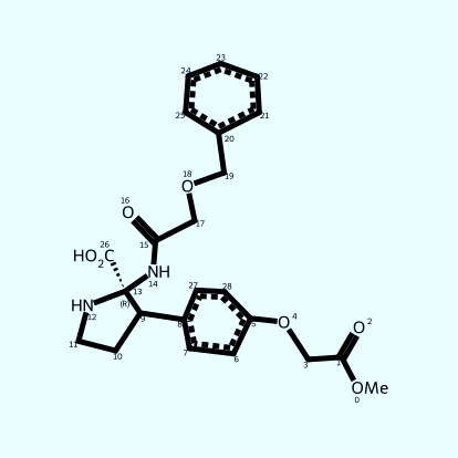 COC(=O)COc1ccc(C2CCN[C@]2(NC(=O)COCc2ccccc2)C(=O)O)cc1